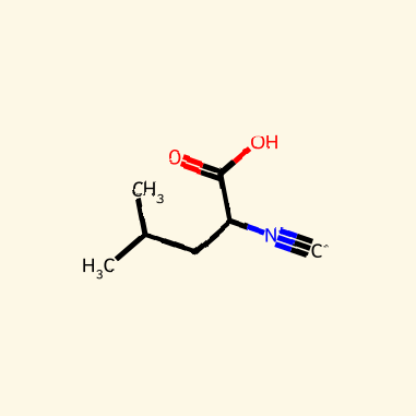 [C-]#[N+]C(CC(C)C)C(=O)O